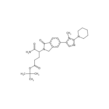 Cn1c(-c2ccc3c(c2)CN(C(CCC(=O)OC(C)(C)C)C(N)=O)C3=O)cnc1N1CCCCC1